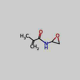 C=C(C)C(=O)NC1CO1